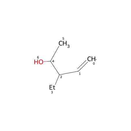 [CH]=CC(CC)C(C)O